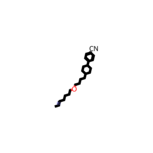 C/C=C/CCCCOCCCCC1CCC(c2ccc(C#N)cc2)CC1